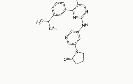 CC(C)c1cccc(-c2nc(Nc3cncc(N4CCCC4=O)c3)ncc2Cl)c1